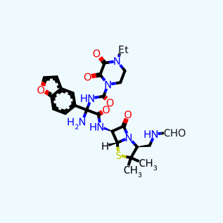 CCN1CCN(C(=O)NC(N)(C(=O)N[C@H]2C(=O)N3[C@@H]2SC(C)(C)[C@@H]3CNC=O)c2ccc3occc3c2)C(=O)C1=O